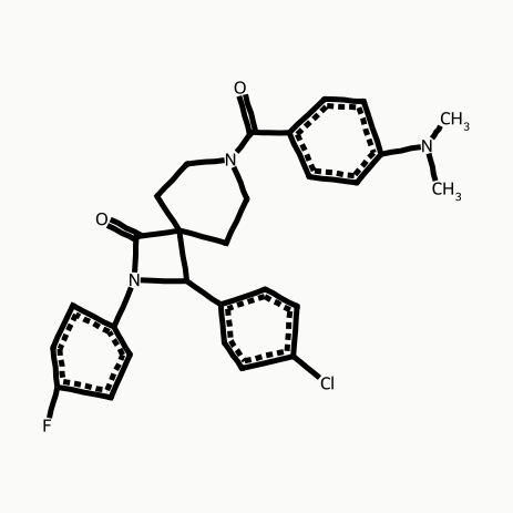 CN(C)c1ccc(C(=O)N2CCC3(CC2)C(=O)N(c2ccc(F)cc2)C3c2ccc(Cl)cc2)cc1